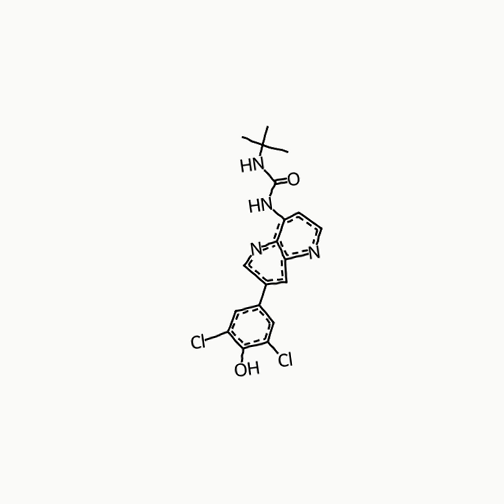 CC(C)(C)NC(=O)Nc1ccnc2cc(-c3cc(Cl)c(O)c(Cl)c3)cnc12